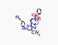 Cc1cc(Nc2ccc(C#N)cc2)nc(N2CCN(S(=O)(=O)c3ccccc3)CC2)n1